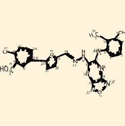 Cc1cccc(Nc2nc3nonc3nc2N/N=C/c2ccc(-c3ccc(Cl)c(C(=O)O)c3)o2)c1C